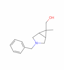 CC1(CO)C2CN(Cc3ccccc3)CC21